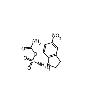 NC(=O)OS(N)(=O)=O.O=[N+]([O-])c1ccc2c(c1)CCN2